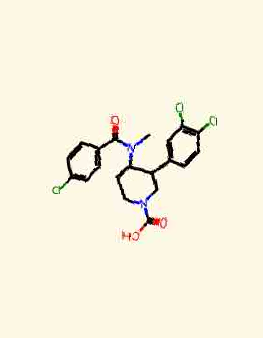 CN(C(=O)c1ccc(Cl)cc1)C1CCN(C(=O)O)CC1c1ccc(Cl)c(Cl)c1